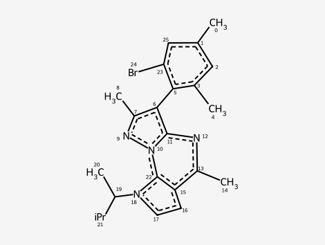 Cc1cc(C)c(-c2c(C)nn3c2nc(C)c2ccn(C(C)C(C)C)c23)c(Br)c1